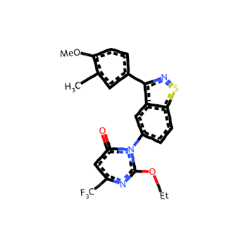 CCOc1nc(C(F)(F)F)cc(=O)n1-c1ccc2snc(-c3ccc(OC)c(C)c3)c2c1